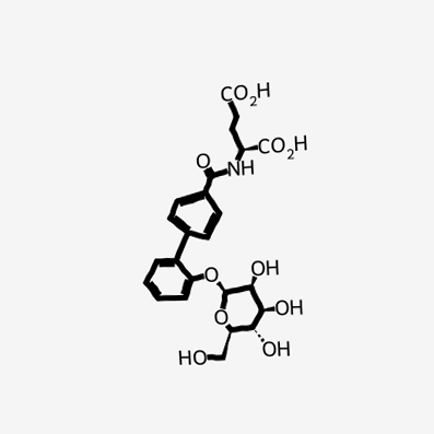 O=C(O)CC[C@H](NC(=O)c1ccc(-c2ccccc2O[C@@H]2O[C@H](CO)[C@@H](O)[C@H](O)[C@@H]2O)cc1)C(=O)O